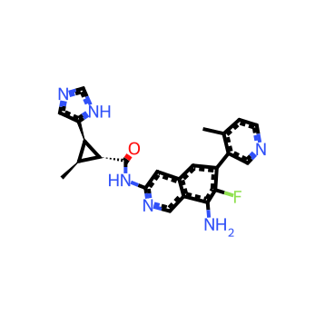 Cc1ccncc1-c1cc2cc(NC(=O)[C@@H]3[C@@H](C)[C@H]3c3cnc[nH]3)ncc2c(N)c1F